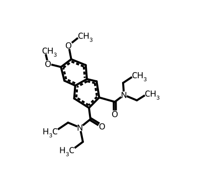 CCN(CC)C(=O)c1cc2cc(OC)c(OC)cc2cc1C(=O)N(CC)CC